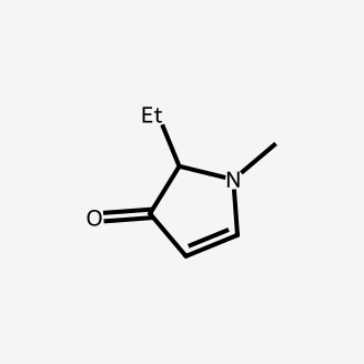 CCC1C(=O)C=CN1C